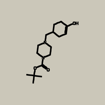 CC(C)(C)OC(=O)N1CCN(CC2CC=C(O)CC2)CC1